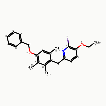 COCOc1ccc(Cc2c(C)cc(OCc3ccccc3)c(C)c2C)nc1I